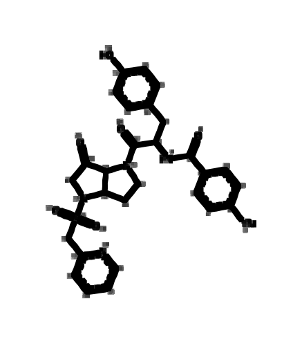 CC(C)(C)c1ccc(C(=O)NC(Cc2ccc(O)cc2)C(=O)N2CCC3C2C(=O)CN3S(=O)(=O)Cc2ccccn2)cc1